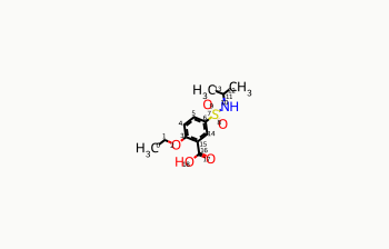 CCOc1ccc(S(=O)(=O)NC(C)C)cc1C(=O)O